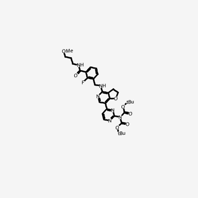 COCCCNC(=O)c1cccc(CNc2ncc(-c3ccnc(N(C(=O)OC(C)(C)C)C(=O)OC(C)(C)C)n3)c3c2CCO3)c1F